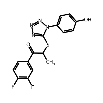 CC(Sc1nnnn1-c1ccc(O)cc1)C(=O)c1ccc(F)c(F)c1